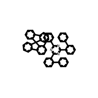 c1ccc(-c2ccccc2-c2nc(-c3ccccc3-c3ccccc3)nc(-c3ccccc3-c3cccc4c3C3(c5ccccc5-c5ccccc53)c3ccccc3-4)n2)cc1